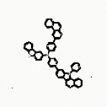 c1ccc(-n2c3cc(-c4ccc(N(c5ccc(-c6ccc7ccc8ccccc8c7c6)cc5)c5ccc6oc7ccccc7c6c5)cc4)ccc3c3ccc4ccccc4c32)cc1